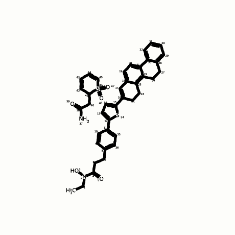 CCN(O)C(=O)CCc1ccc(-c2ccc(C3=Cc4ccc5c(c4CC3)CCc3ccccc3-5)s2)cc1.NC(=O)CC1C=CC=CS1(=O)=O